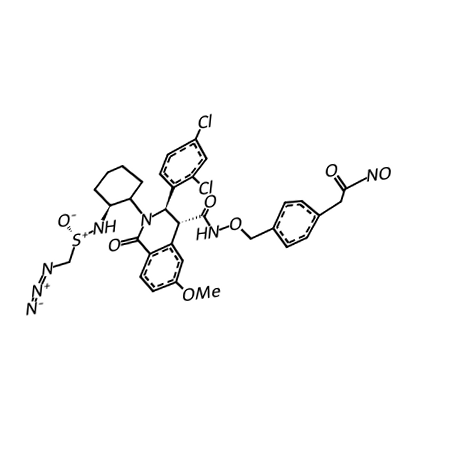 COc1ccc2c(c1)[C@@H](C(=O)NOCc1ccc(CC(=O)N=O)cc1)[C@H](c1ccc(Cl)cc1Cl)N(C1CCCC[C@@H]1N[S@@+]([O-])CN=[N+]=[N-])C2=O